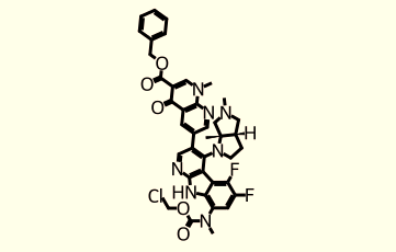 CN1C[C@@H]2CCN(c3c(-c4cnc5c(c4)c(=O)c(C(=O)OCc4ccccc4)cn5C)cnc4[nH]c5c(N(C)C(=O)OCCl)cc(F)c(F)c5c34)[C@]2(C)C1